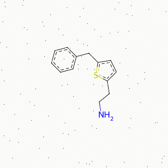 NCCc1ccc(Cc2ccccc2)s1